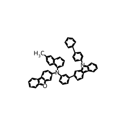 Cc1ccc2c(N(c3cccc(-c4ccc5c6ccccc6n(-c6ccc(-c7ccccc7)cc6)c5c4)c3)c3ccc4c(c3)oc3ccccc34)cccc2c1